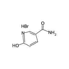 Br.NC(=O)c1ccc(O)nc1